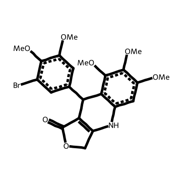 COc1cc(C2C3=C(COC3=O)Nc3cc(OC)c(OC)c(OC)c32)cc(Br)c1OC